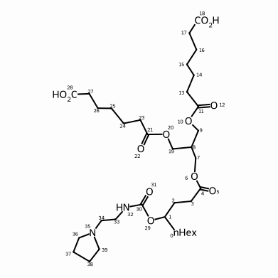 CCCCCCC(CCC(=O)OCC(COC(=O)CCCCCC(=O)O)COC(=O)CCCCCC(=O)O)OC(=O)NCCN1CCCC1